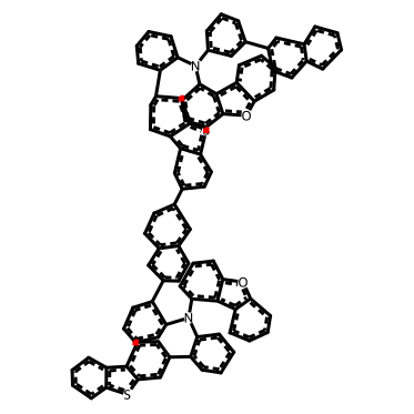 c1cc(-c2ccc3ccccc3c2)cc(N(c2ccccc2-c2ccc3c(c2)sc2ccc(-c4ccc5cc(-c6ccccc6N(c6ccccc6-c6ccc7c(c6)sc6ccccc67)c6cccc7oc8ccccc8c67)ccc5c4)cc23)c2cccc3oc4ccccc4c23)c1